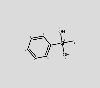 C[Si](O)(O)c1ccccc1